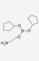 NCCOB(OC1CCCC1)OC1CCCC1